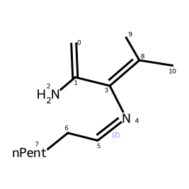 C=C(N)C(/N=C\CCCCCC)=C(C)C